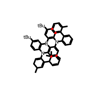 Cc1cc2c3c(c1)N(c1ccccc1-c1ccccc1C)c1ccc(C(C)(C)C)cc1B3c1cc(C(C)(C)C)ccc1N2C1=CCC(C)C=C1C1C=CC=CC1(C)C